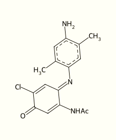 CC(=O)NC1=CC(=O)C(Cl)=CC1=Nc1cc(C)c(N)cc1C